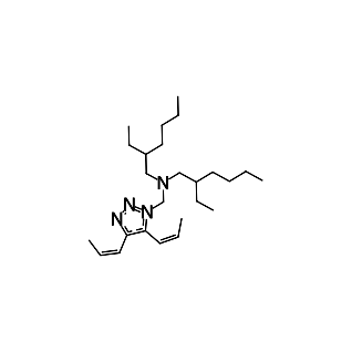 C/C=C\c1nnn(CN(CC(CC)CCCC)CC(CC)CCCC)c1/C=C\C